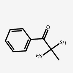 CC(S)(S)C(=O)c1ccccc1